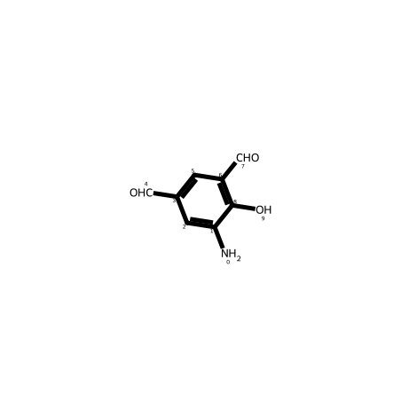 Nc1cc(C=O)cc(C=O)c1O